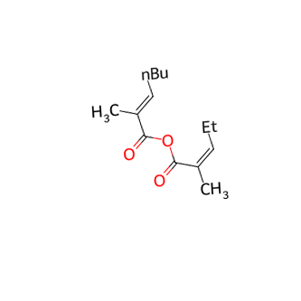 CCC=C(C)C(=O)OC(=O)C(C)=CCCCC